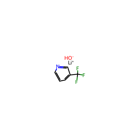 FC(F)(F)c1cccnc1.[Li+].[OH-]